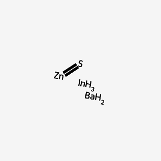 [BaH2].[InH3].[S]=[Zn]